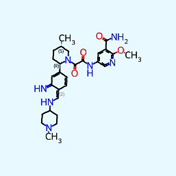 COc1ncc(NC(=O)C(=O)N2C[C@@H](C)CC[C@@H]2C2=CC(=N)/C(=C\NC3CCN(C)CC3)C=C2)cc1C(N)=O